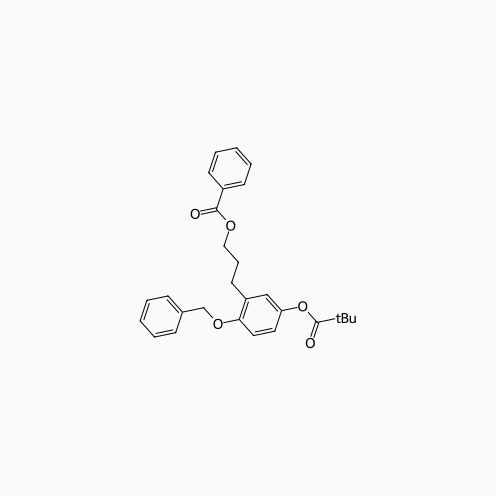 CC(C)(C)C(=O)Oc1ccc(OCc2ccccc2)c(CCCOC(=O)c2ccccc2)c1